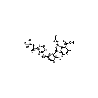 COCn1cc(-c2nc(N[C@H]3CCCN(C(=O)OC(C)(C)C)C3)ncc2C)c2cccc(C(=O)O)c21